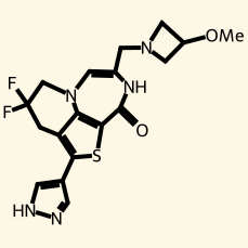 COC1CN(CC2=CN3CC(F)(F)Cc4c(-c5cn[nH]c5)sc(c43)C(=O)N2)C1